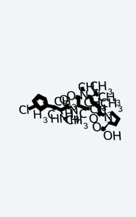 CN[C@H](C(=O)N[C@H](C(=O)N(C)[C@H](/C=C(\C)C(=O)N1CCC[C@H]1C(=O)O)C(C)C)C(C)(C)C)C(C)(C)c1cccc(Cl)c1